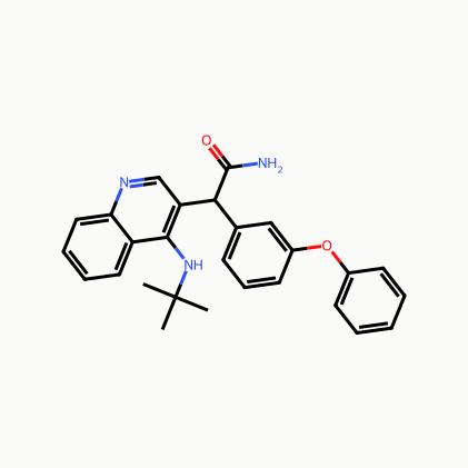 CC(C)(C)Nc1c(C(C(N)=O)c2cccc(Oc3ccccc3)c2)cnc2ccccc12